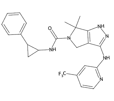 CC1(C)c2[nH]nc(Nc3cc(C(F)(F)F)ccn3)c2CN1C(=O)NC1CC1c1ccccc1